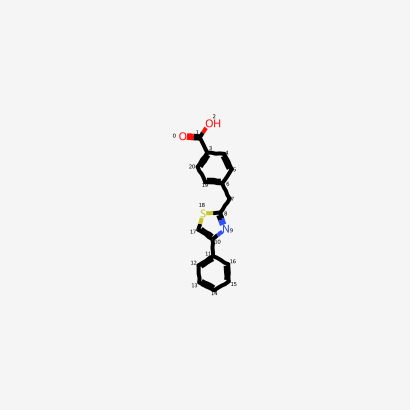 O=C(O)c1ccc(Cc2nc(-c3ccccc3)cs2)cc1